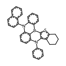 c1ccc(N2c3cccc4c3B(c3ccccc3N4c3cccc4ccccc34)c3sc4c(c32)CCCC4)cc1